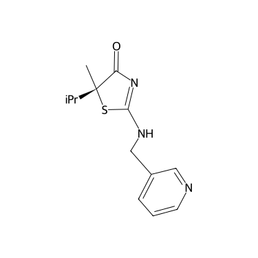 CC(C)[C@]1(C)SC(NCc2cccnc2)=NC1=O